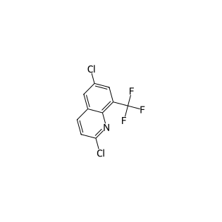 FC(F)(F)c1cc(Cl)cc2ccc(Cl)nc12